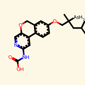 CC(C)CC(C)([AsH2])COc1ccc2c(c1)COc1cnc(NC(=O)O)cc1-2